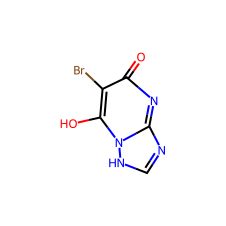 O=c1nc2nc[nH]n2c(O)c1Br